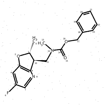 C[C@H]1Oc2cc(F)cnc2[C@@H]1CN(C)C(=O)OCc1ccccc1